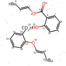 CCCCC=COC(=O)c1ccccc1O.CCCCC=COc1ccccc1C(=O)O